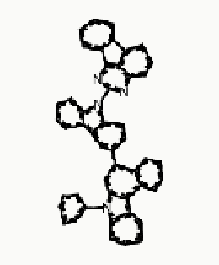 c1ccc(-n2c3ccccc3c3c4ccccc4c(-c4ccc5c(c4)c4ccccc4n5-c4nc5c6c(cccc6n4)-c4ccccc4-5)cc32)cc1